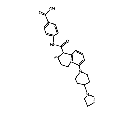 O=C(O)c1ccc(NC(=O)C2NCCc3c2cccc3N2CCC(N3CCCC3)CC2)cc1